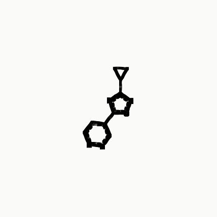 c1cc(-c2nc(C3CC3)no2)cnn1